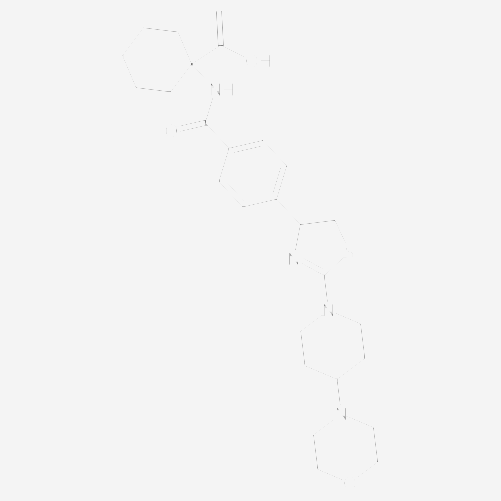 C=C(O)C1(NC(=O)c2ccc(C3CSC(N4CCC(N5CCOCC5)CC4)=N3)cc2)CCCCC1